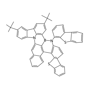 CC(C)(C)c1ccc2c(c1)c1cc(C(C)(C)C)cc3c1n2-c1cc2ccccc2c2c1B3N(c1cccc3c1sc1ccccc13)c1ccc3c(sc4ccccc43)c1-2